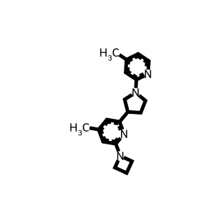 Cc1ccnc(N2CCC(c3cc(C)cc(N4CCC4)n3)C2)c1